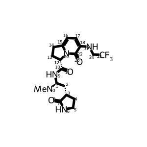 CN[C@H](C[C@@H]1CCNC1=O)NC(=O)[C@@H]1CCc2ccc(NCC(F)(F)F)c(=O)n21